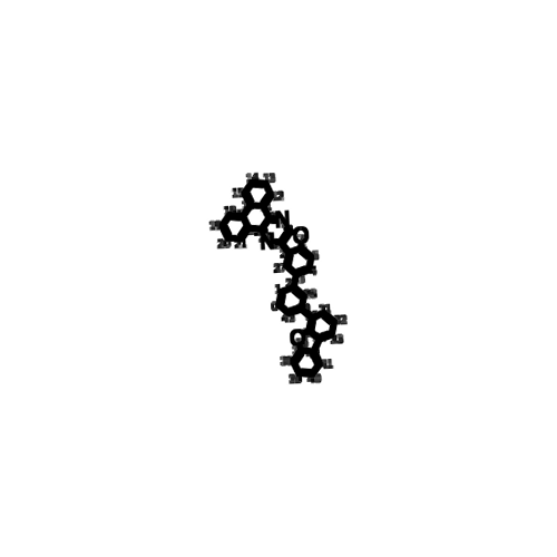 c1cc(-c2ccc3oc4nc5c6ccccc6c6ccccc6c5nc4c3c2)cc(-c2cccc3c2oc2ccccc23)c1